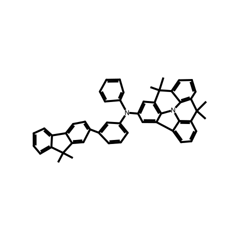 CC1(C)c2ccccc2-c2ccc(-c3cccc(N(c4ccccc4)c4cc5c6c(c4)c4cccc7c4n6-c4c(cccc4C5(C)C)C7(C)C)c3)cc21